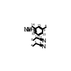 CCC#N.CCC#N.Cc1cccc(C)c1.N.N